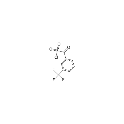 O=C(c1cccc(C(F)(F)F)c1)S(=O)(=O)Cl